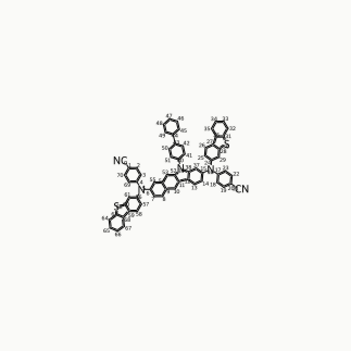 N#Cc1ccc(N(c2ccc3cc4c5ccc(N(c6ccc(C#N)cc6)c6ccc7c(c6)sc6ccccc67)cc5n(-c5ccc(-c6ccccc6)cc5)c4cc3c2)c2ccc3c(c2)sc2ccccc23)cc1